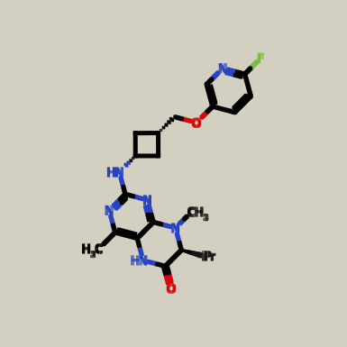 Cc1nc(N[C@H]2C[C@@H](COc3ccc(F)nc3)C2)nc2c1NC(=O)[C@H](C(C)C)N2C